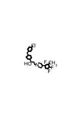 Cc1c(F)c(F)cc(C2=CCN(CCC(O)c3ccc(Cc4ccc(Cl)cc4)cc3)CC2)c1F